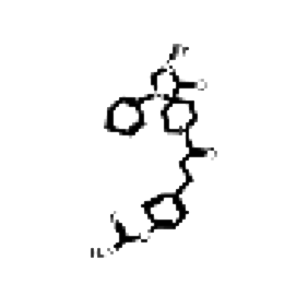 CC(C)N1CN(c2ccccc2)C2(CCN(C(=O)[CH]Cc3ccc(OC(N)=O)cc3)CC2)C1=O